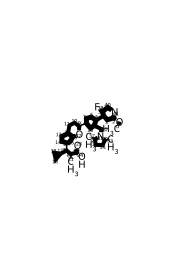 COc1cc(-c2ccc([C@@H]3CCc4ccc([C@H](C5CC5)[C@H](C)C(=O)O)cc4O3)cc2CN2[C@H](C)CC[C@H]2C)c(F)cn1